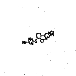 Clc1c(Sc2cnc(Br)cn2)cccc1-c1cn2ccnc2cn1